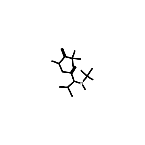 C=C(CC(C)C(=C)C(C)(C)C)C(C(C)C)N(C)C(C)(C)C